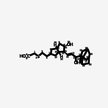 O=C(O)CSCCC1C[C@@H]2C[C@H](O)[C@@H](C=CC(O)C34CC5CC(CC(C5)C3)C4)[C@@H]2C1